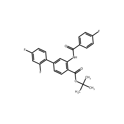 CC(C)(C)OC(=O)c1ccc(-c2ccc(F)cc2F)cc1NC(=O)c1ccc(F)cc1